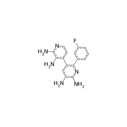 Nc1cc(-c2ccnc(N)c2N)c(-c2cccc(F)c2)nc1N